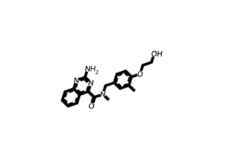 Cc1cc(CN(C)C(=O)c2nc(N)nc3ccccc23)ccc1OCCO